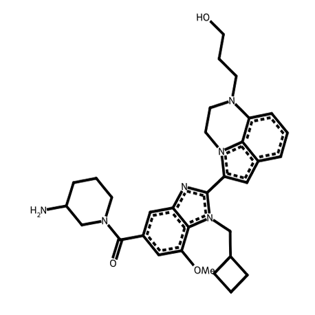 COc1cc(C(=O)N2CCCC(N)C2)cc2nc(-c3cc4cccc5c4n3CCN5CCCO)n(CC3CCC3)c12